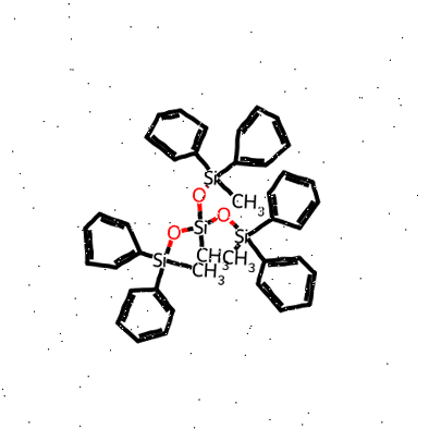 C[Si](O[Si](C)(c1ccccc1)c1ccccc1)(O[Si](C)(c1ccccc1)c1ccccc1)O[Si](C)(c1ccccc1)c1ccccc1